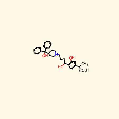 CC(C(=O)O)c1ccc(C(O)CCCN2CCC(C(O)(c3ccccc3)c3ccccc3)CC2)c(O)c1